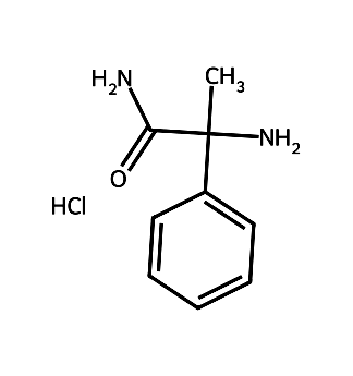 CC(N)(C(N)=O)c1ccccc1.Cl